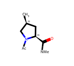 CNC(=O)[C@@H]1C[C@H](C)CN1C(C)=O